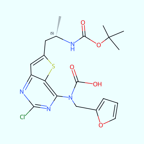 C[C@@H](Cc1cc2nc(Cl)nc(N(Cc3ccco3)C(=O)O)c2s1)NC(=O)OC(C)(C)C